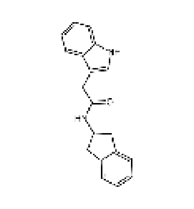 O=C(Cc1c[nH]c2ccccc12)NC1Cc2ccccc2C1